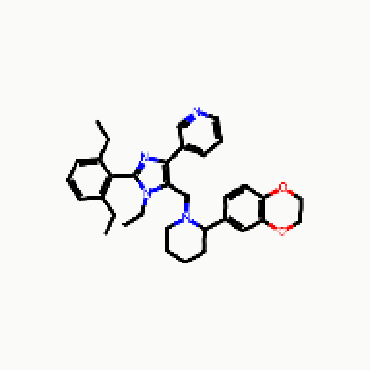 CCc1cccc(CC)c1-c1nc(-c2cccnc2)c(CN2CCCCC2c2ccc3c(c2)OCCO3)n1CC